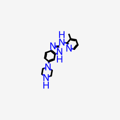 Cc1cccnc1Nc1nc2ccc(N3CCNCC3)cc2[nH]1